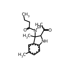 CCCC(=O)N(C)C1(C)c2cc(C)ccc2NC1C(C)=O